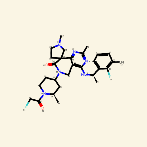 Cc1nc(N[C@H](C)c2cccc(C#N)c2F)c2c(n1)C1(CCN(C)C1)C(=O)N(C1CCN(C(=O)CF)[C@H](C)C1)C2